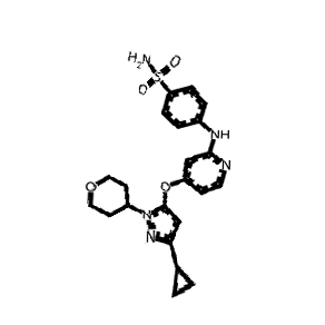 NS(=O)(=O)c1ccc(Nc2cc(Oc3cc(C4CC4)nn3C3CCOCC3)ccn2)cc1